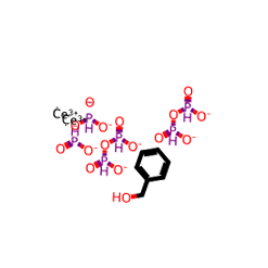 O=[PH]([O-])O[PH](=O)[O-].O=[PH]([O-])O[PH](=O)[O-].O=[PH]([O-])O[PH](=O)[O-].OCc1ccccc1.[Ce+3].[Ce+3]